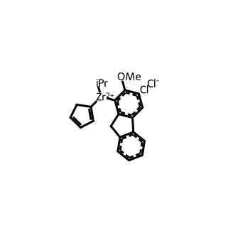 COc1ccc2c([c]1[Zr+2]([C]1=CC=CC1)[CH](C)C)Cc1ccccc1-2.[Cl-].[Cl-]